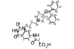 O=C(O)CC(=O)Nc1ccc2c(=O)[nH]c(=O)n(CCCCN3CCC(OC(c4ccccc4)c4ccccc4)CC3)c2c1